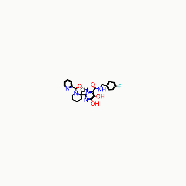 CC1(c2nc(O)c(O)c(C(=O)NCc3ccc(F)cc3)n2)CCCCN1C(=O)c1ccccn1